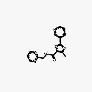 Cc1nc(-c2cccnc2)sc1C(=O)NCc1ncccn1